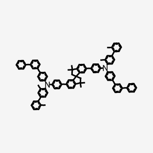 Cc1ccccc1-c1ccc(N(c2ccc(-c3cccc(-c4ccccc4)c3)cc2)c2ccc(-c3ccc4c(c3)C3(CC4(C)C)CC(C)(C)c4ccc(-c5ccc(N(c6ccc(-c7cccc(-c8ccccc8)c7)cc6)c6ccc(-c7ccccc7C)cc6C)cc5)cc43)cc2)c(C)c1